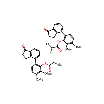 CCC(CC)C(=O)Oc1c(-c2cccc3c2CCC3=O)ccc(OC)c1OC.COc1ccc(-c2cccc3c2CCC3=O)c(OC(=O)CC(C)(C)C)c1OC